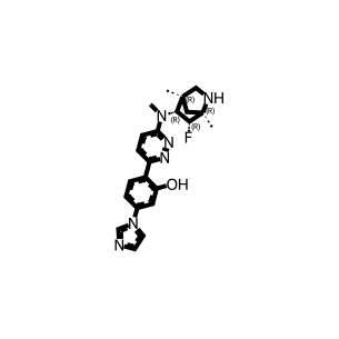 CN(c1ccc(-c2ccc(-n3ccnc3)cc2O)nn1)[C@H]1[C@@H](F)[C@@]2(C)C[C@]1(C)CN2